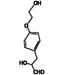 O=CC(O)Cc1ccc(OCCO)cc1